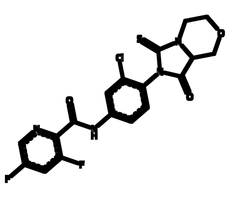 O=C(Nc1ccc(N2C(=O)C3COCCN3C2=S)c(Cl)c1)c1ncc(F)cc1F